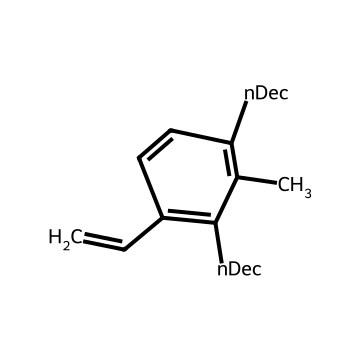 C=Cc1ccc(CCCCCCCCCC)c(C)c1CCCCCCCCCC